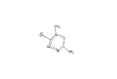 Cc1cc(N)nnc1Cl